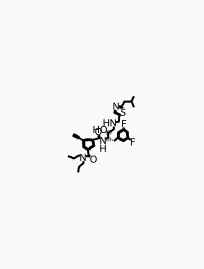 C#Cc1cc(C(=O)N[C@@H](Cc2cc(F)cc(F)c2)[C@H](O)CNCc2cnc(CC(C)C)s2)cc(C(=O)N(CCC)CCC)c1